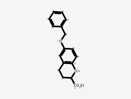 CCOC(=O)C1CCc2cc(OCc3ccccc3)ccc2O1